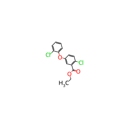 CCOC(=O)c1cc(Oc2ccccc2Cl)ccc1Cl